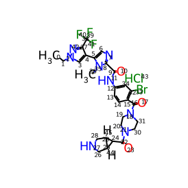 CCn1cc(-c2cnc(C(=O)Nc3ccc(C(=O)N4CCN(C(=O)C5[C@H]6CNC[C@@H]56)CC4)c(Br)c3)n2C)c(C(F)(F)F)n1.Cl